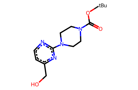 CC(C)(C)OC(=O)N1CCN(c2nccc(CO)n2)CC1